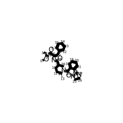 CON(C)C(=O)c1nc(C2CC[C@@H](C)N(C(=O)c3ccccc3-n3nccn3)C2)oc1-c1ccccc1